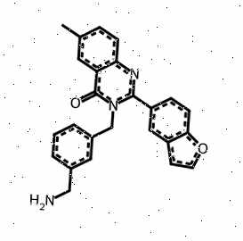 Cc1ccc2nc(-c3ccc4occc4c3)n(Cc3cccc(CN)c3)c(=O)c2c1